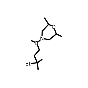 CCC(C)(C)CCB(C)N1CC(C)OC(C)C1